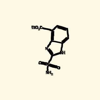 CCOC(=O)c1cccc2[nH]c(S(N)(=O)=O)nc12